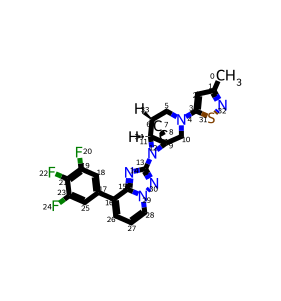 Cc1cc(N2C[C@@H]3CCC4(C2)[C@H]3N4c2nc3c(-c4cc(F)c(F)c(F)c4)cccn3n2)sn1